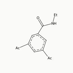 CCNC(=O)c1cc(C(C)=O)cc(C(C)=O)c1